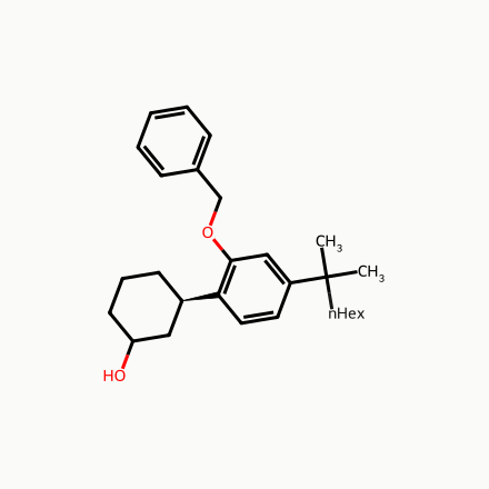 CCCCCCC(C)(C)c1ccc([C@@H]2CCCC(O)C2)c(OCc2ccccc2)c1